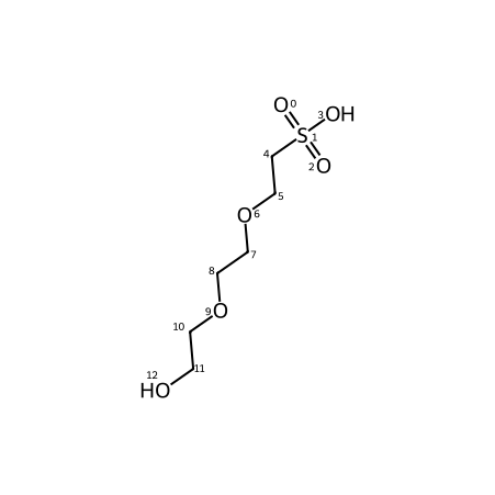 O=S(=O)(O)CCOCCOCCO